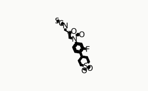 O=C1O[C@H](CN=C=S)CN1c1ccc(C2CCS(=O)(=O)CC2)c(F)c1